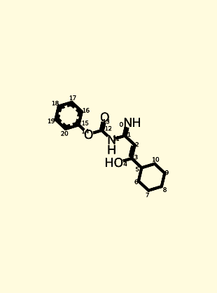 N=C(/C=C(\O)C1CCCCC1)NC(=O)Oc1ccccc1